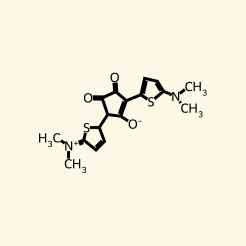 CN(C)c1ccc(C2=C([O-])C(C3C=CC(=[N+](C)C)S3)C(=O)C2=O)s1